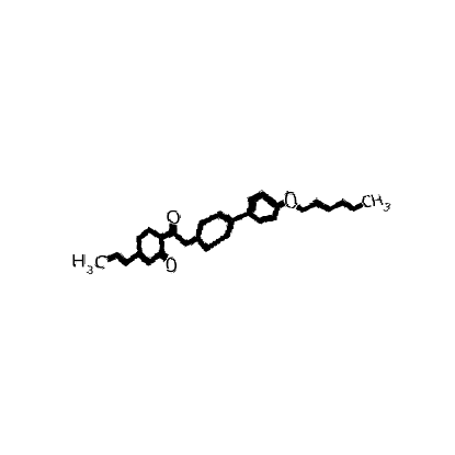 CCCCCCOc1ccc(C2CCC(CC(=O)C3CCC(CCC)CC3=O)CC2)cc1